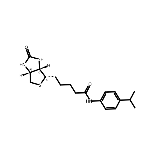 CC(C)c1ccc(NC(=O)CCCC[C@@H]2SC[C@@H]3NC(=O)N[C@@H]32)cc1